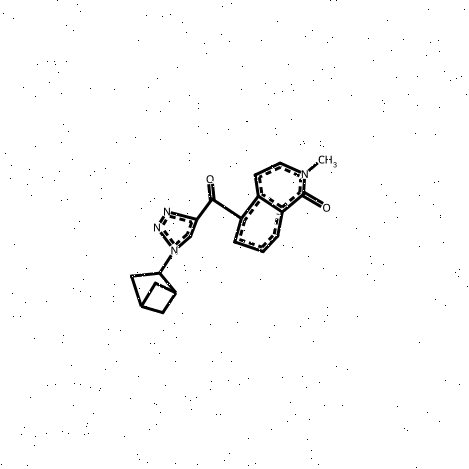 Cn1ccc2c(C(=O)c3cn(C4CC5CC4C5)nn3)cccc2c1=O